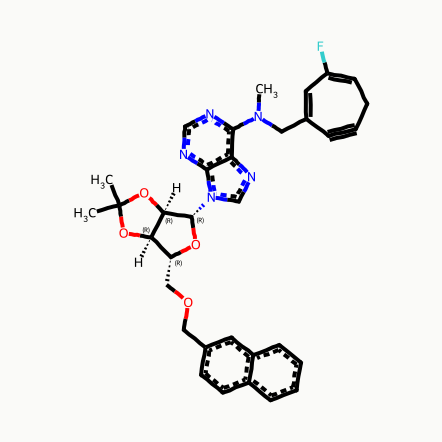 CN(CC1=CC(F)=CCC#C1)c1ncnc2c1ncn2[C@@H]1O[C@H](COCc2ccc3ccccc3c2)[C@H]2OC(C)(C)O[C@H]21